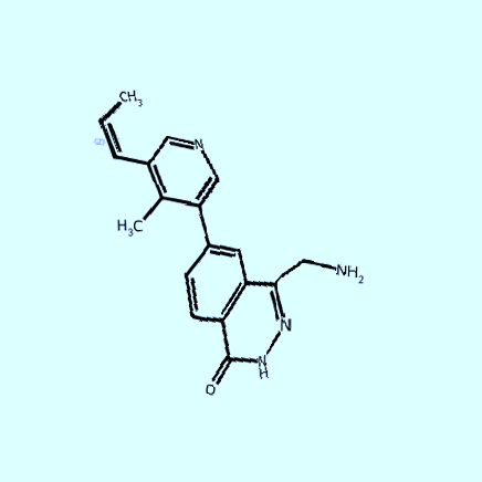 C/C=C\c1cncc(-c2ccc3c(=O)[nH]nc(CN)c3c2)c1C